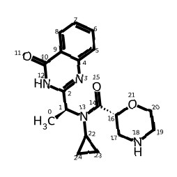 C[C@@H](c1nc2ccccc2c(=O)[nH]1)N(C(=O)[C@H]1CNCCO1)C1CC1